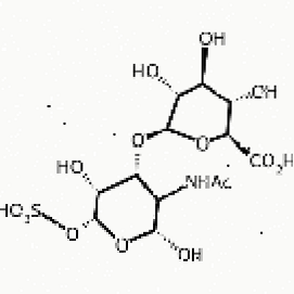 CC(=O)NC1[C@H](O)O[C@H](OS(=O)(=O)O)[C@H](O)[C@@H]1O[C@@H]1O[C@H](C(=O)O)[C@@H](O)[C@H](O)[C@H]1O